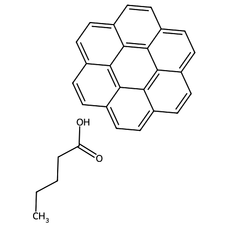 CCCCC(=O)O.c1cc2ccc3ccc4ccc5ccc6ccc1c1c2c3c4c5c61